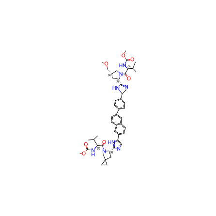 COC[C@H]1C[C@@H](C2=NCC(c3ccc(-c4ccc5cc(-c6cnc([C@@H]7CC8(CC8)CN7C(=O)[C@@H](NC(=O)OC)C(C)C)[nH]6)ccc5c4)cc3)N2)N(C(=O)[C@@H](NC(=O)OC)C(C)C)C1